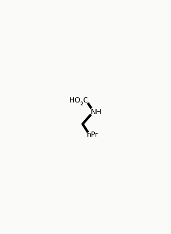 [CH2]CCCNC(=O)O